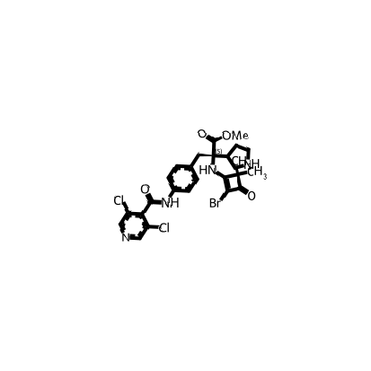 COC(=O)[C@@](Cc1ccc(NC(=O)c2c(Cl)cncc2Cl)cc1)(NC1=C(Br)C(=O)C1(C)C)C1CCNC1